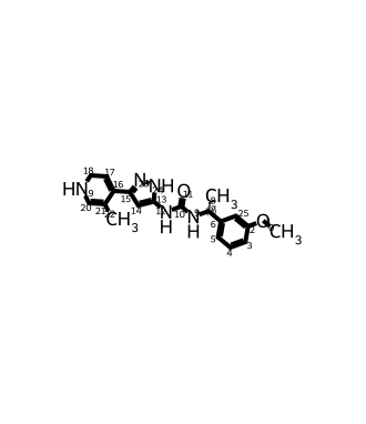 COc1cccc([C@@H](C)NC(=O)Nc2cc(C3=CCNC=C3C)n[nH]2)c1